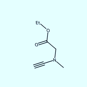 C#CN(C)CC(=O)OCC